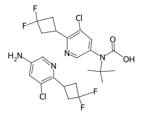 CC(C)(C)N(C(=O)O)c1cnc(C2CC(F)(F)C2)c(Cl)c1.Nc1cnc(C2CC(F)(F)C2)c(Cl)c1